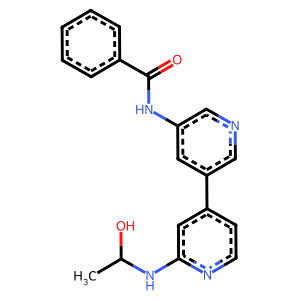 CC(O)Nc1cc(-c2cncc(NC(=O)c3ccccc3)c2)ccn1